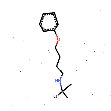 CCC(C)(C)NCCCCOc1ccccc1